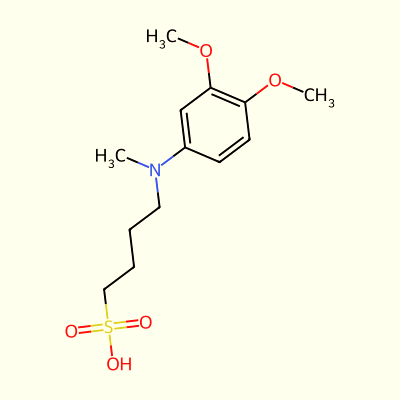 COc1ccc(N(C)CCCCS(=O)(=O)O)cc1OC